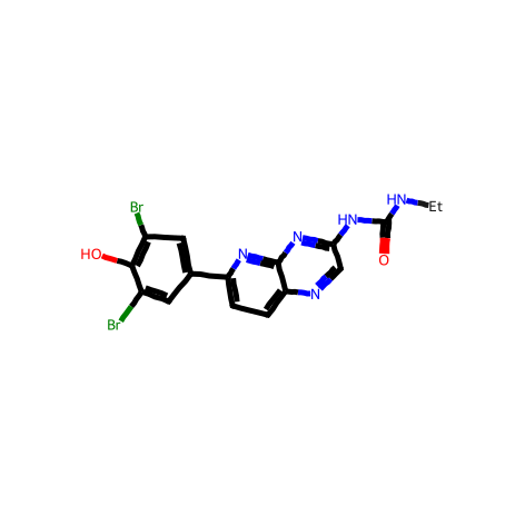 CCNC(=O)Nc1cnc2ccc(-c3cc(Br)c(O)c(Br)c3)nc2n1